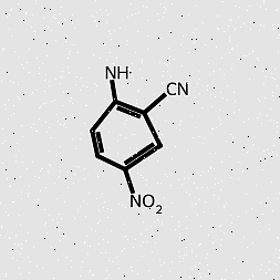 N#Cc1cc([N+](=O)[O-])ccc1[NH]